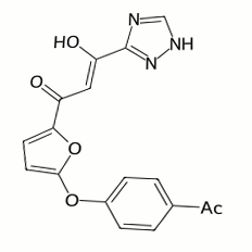 CC(=O)c1ccc(Oc2ccc(C(=O)C=C(O)c3nc[nH]n3)o2)cc1